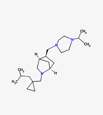 CC(C)CC1(CN2C[C@@H]3C[C@H]2C[C@@H]3CN2CCN(C(C)C)CC2)CC1